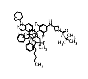 CCCCCCC(O[Si](c1ccccc1)(c1ccccc1)C(C)(C)C)C(C)(F)CN1[C@H](c2c(F)cc(NC3CN(C(=O)OC(C)(C)C)C3)cc2F)c2ccc3c(cnn3C3CCCCO3)c2C[C@H]1C